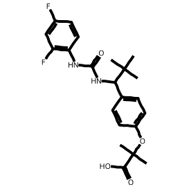 CC(C)(Oc1ccc(C(NC(=O)Nc2ccc(F)cc2F)C(C)(C)C)cc1)C(=O)O